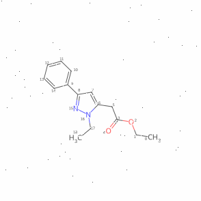 CCOC(=O)Cc1cc(-c2ccccc2)nn1CC